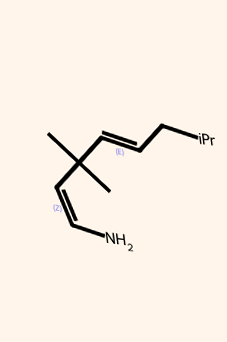 CC(C)C/C=C/C(C)(C)/C=C\N